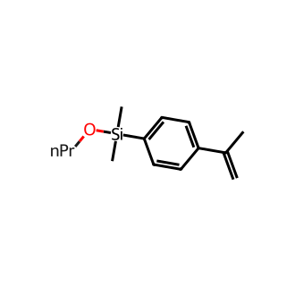 C=C(C)c1ccc([Si](C)(C)OCCC)cc1